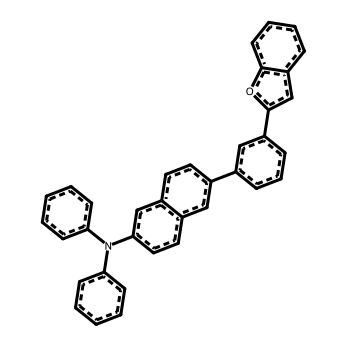 c1ccc(N(c2ccccc2)c2ccc3cc(-c4cccc(-c5cc6ccccc6o5)c4)ccc3c2)cc1